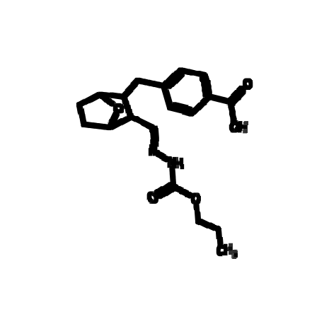 CCCOC(=O)N/N=C/C1C2CCC(O2)C1Cc1ccc(C(=O)O)cc1